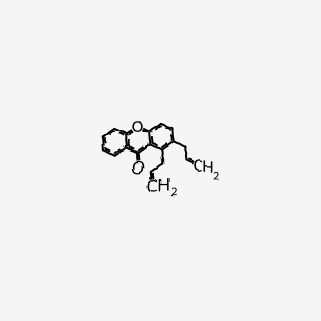 C=CCc1ccc2oc3ccccc3c(=O)c2c1CC=C